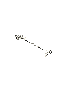 CC(C)(C)[SiH2]OCCCCCCCCC=CCCCCCCCCCC=CCC(c1ccccc1)c1ccccc1